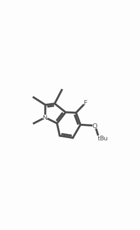 Cc1c(C)n(C)c2ccc(OC(C)(C)C)c(F)c12